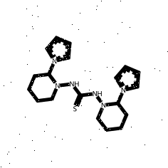 S=C(NN1CCCCC1n1cccc1)NN1CCCCC1n1cccc1